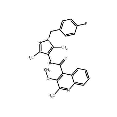 COc1c(C)nc2ccccc2c1C(=O)Nc1c(C)nn(Cc2ccc(F)cc2)c1C